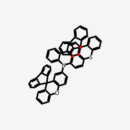 c1ccc(-c2ccccc2N(c2ccc3c(c2)C2(c4ccccc4O3)c3ccccc3-c3ccccc32)c2ccc3c(c2)C2(c4ccccc4S3)c3ccccc3-c3ccccc32)cc1